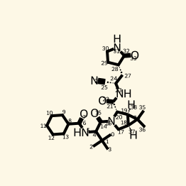 CC(C)(C)C(NC(=O)C1CCCCC1)C(=O)N1C[C@H]2[C@@H]([C@H]1C(=O)N[C@H](C#N)C[C@@H]1CCNC1=O)C2(C)C